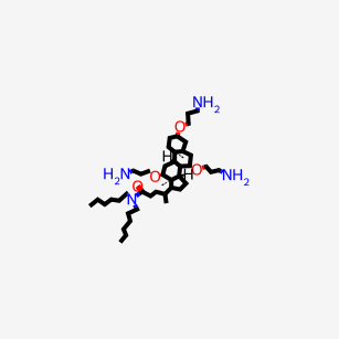 CCCCCCN(CCCCCC)C(=O)CCC(C)C1CC[C@H]2C3[C@H](OCCCN)CC4CC(OCCCN)CC[C@]4(C)[C@H]3C[C@H](OCCCN)[C@]12C